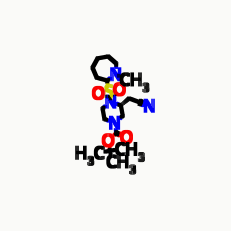 CN1CCCCCC1S(=O)(=O)N1CCN(C(=O)OC(C)(C)C)C[C@@H]1CC#N